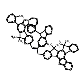 Cc1ccccc1-c1cc2c(c3c1oc1ccccc13)-c1ccc(/C=C(/Cc3ccc4c(c3)C(C)(C)c3c5c(c6c(oc7ccccc76)c3-4)-c3ccccc3C5(C)C)c3ccc4c(c3)C(c3ccccc3)c3ccccc3-4)cc1C2(C)C